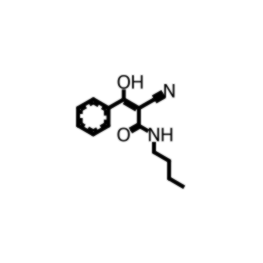 CCCCNC(=O)C(C#N)=C(O)c1ccccc1